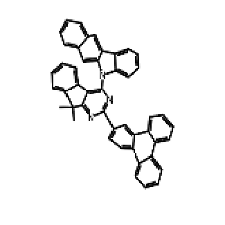 CC1(C)c2ccccc2-c2c(-n3c4ccccc4c4cc5ccccc5cc43)nc(-c3ccc4c5ccccc5c5ccccc5c4c3)nc21